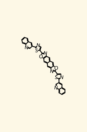 c1ccc2ncc(-c3ncc(-c4nc5cc6cc7oc(-c8cnc(-c9cnc%10ccccc%10c9)s8)nc7cc6cc5o4)s3)cc2c1